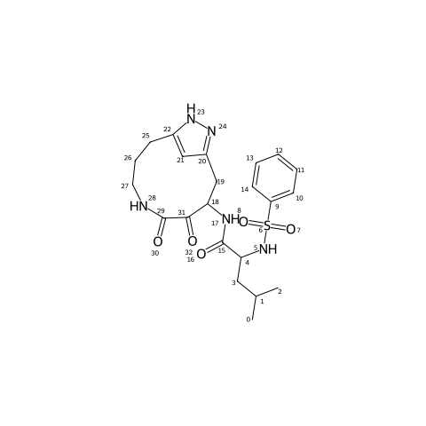 CC(C)CC(NS(=O)(=O)c1ccccc1)C(=O)NC1Cc2cc([nH]n2)CCCNC(=O)C1=O